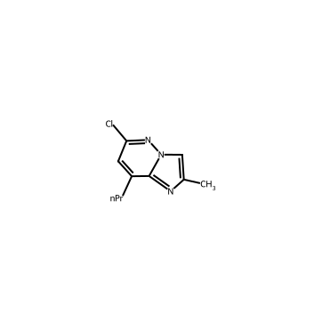 CCCc1cc(Cl)nn2cc(C)nc12